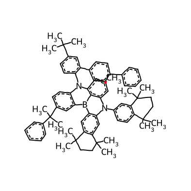 Cc1cc2c3c(c1)N(c1ccc(C(C)(C)C)cc1-c1ccc(-c4ccccc4)cc1)c1ccc(C(C)(C)c4ccccc4)cc1B3c1cc3c(cc1N2c1ccc2c(c1)C(C)(C)CCC2(C)C)C(C)(C)CCC3(C)C